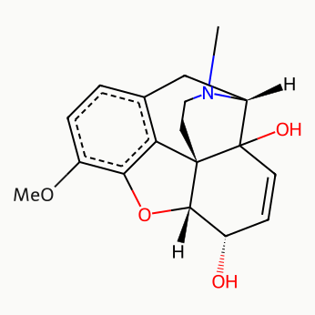 COc1ccc2c3c1O[C@H]1[C@@H](O)C=CC4(O)[C@@H](C2)N(C)CC[C@]314